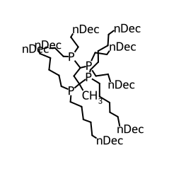 CCCCCCCCCCCCCCCP(CCCCCCCCCCCCCCC)C(C)(CC(P(CCCCCCCCCCCC)CCCCCCCCCCCC)P(CCCCCCCCCCCC)CCCCCCCCCCCC)P(CCCCCCCCCCCCCCC)CCCCCCCCCCCCCCC